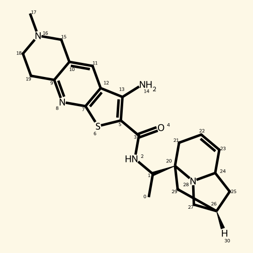 CC(NC(=O)c1sc2nc3c(cc2c1N)CN(C)CC3)[C@@]12CC=CC3C[C@H](CN31)C2